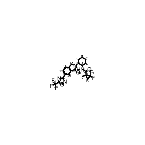 CC1(C(=O)N[C@@H]2CCCC[C@H]2N2Cc3ccc(-c4noc(C(F)(F)F)n4)cc3C2=O)CC1(F)F